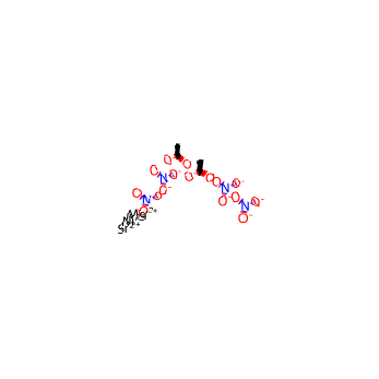 CC(=O)[O-].CC(=O)[O-].O=[N+]([O-])[O-].O=[N+]([O-])[O-].O=[N+]([O-])[O-].O=[N+]([O-])[O-].[Mg+2].[Ni+2].[Sr+2]